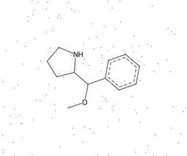 COC(c1ccccc1)C1CCCN1